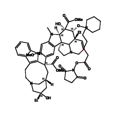 CC[C@]1(O)C[C@@H]2CN(CCc3c([nH]c4ccccc34)[C@@](C(=O)OC)(c3cc4c(cc3OC)N(C)[C@H]3[C@@](O)(C(=O)OC)[C@H](O[Si]5(CCCCC(=O)ON6C(=O)CCC6=O)CCCCC5)[C@]5(CC)C=CCN6CC[C@]43C65)C2)C1